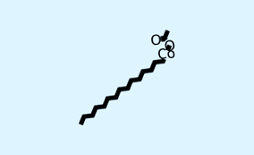 CCCCCCCCCCCCCC[CH2][Co][O]C(C)=O